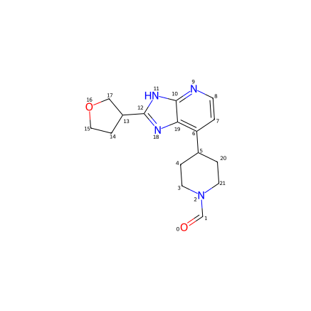 O=CN1CCC(c2ccnc3[nH]c(C4CCOC4)nc23)CC1